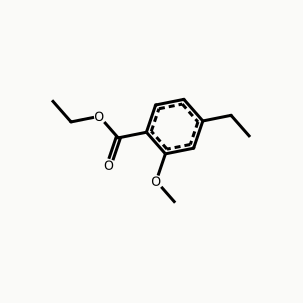 CCOC(=O)c1ccc(CC)cc1OC